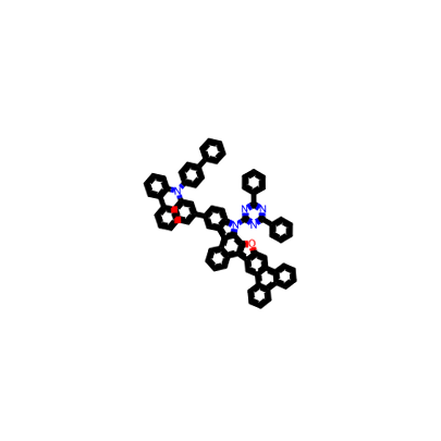 c1ccc(-c2ccc(N(c3cccc(-c4ccc5c(c4)c4c6ccccc6c6c7cc8c9ccccc9c9ccccc9c8cc7oc6c4n5-c4nc(-c5ccccc5)nc(-c5ccccc5)n4)c3)c3ccccc3-c3ccccc3)cc2)cc1